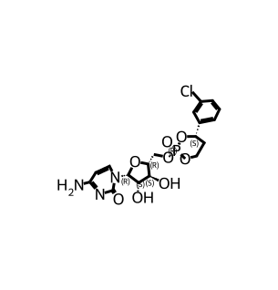 Nc1ccn([C@@H]2O[C@H](CO[P@@]3(=O)OCC[C@@H](c4cccc(Cl)c4)O3)[C@@H](O)[C@@H]2O)c(=O)n1